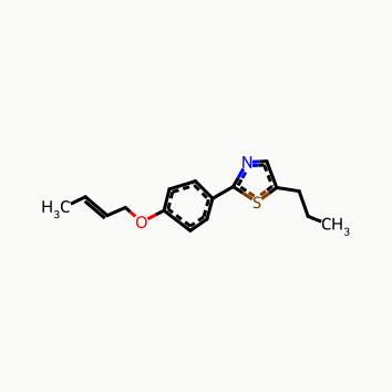 C/C=C/COc1ccc(-c2ncc(CCC)s2)cc1